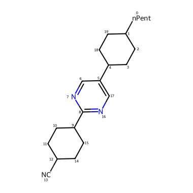 CCCCCC1CCC(c2cnc(C3CCC(C#N)CC3)nc2)CC1